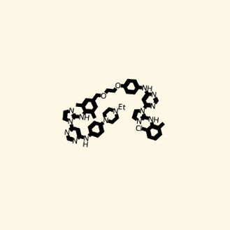 CCN1CCN(c2ccc(Nc3cc(-n4ccnc4Nc4c(C)cc(COCCOc5ccc(Nc6cc(-n7ccnc7Nc7c(C)cccc7Cl)ncn6)cc5)cc4C)ncn3)cc2)CC1